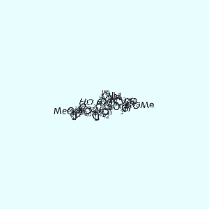 COC(=O)CS(=O)(=O)c1ccc(C(=O)Nc2cccc(S(=O)(=O)O)c2C=Cc2c(NC(=O)c3ccc(S(=O)(=O)CC(=O)OC)cc3)cccc2S(=O)(=O)O)cc1